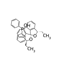 CC[C@@H]1O[C@]2(O[C@@H](CC)c3cccc(P(c4ccccc4)c4ccccc4)c32)c2c(O)cccc21